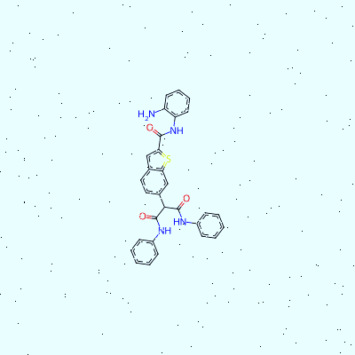 Nc1ccccc1NC(=O)c1cc2ccc(C(C(=O)Nc3ccccc3)C(=O)Nc3ccccc3)cc2s1